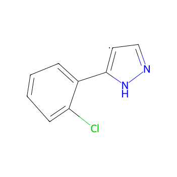 Clc1ccccc1-c1[c]cn[nH]1